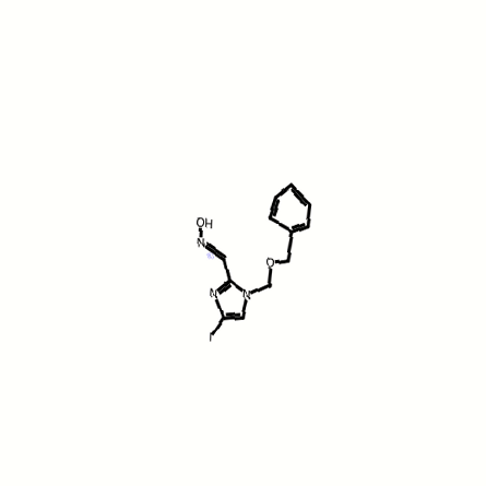 O/N=C/c1nc(I)cn1COCc1ccccc1